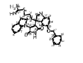 Cc1cc2ccccc2n1C1=C(C2(CCCSC(=N)N)C=Nc3ccc(OCc4ccccc4)cc32)C(=O)NC1=O